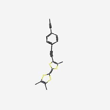 CC#Cc1ccc(C#CC2=C(C)SC(=C3SC(C)=C(C)S3)S2)cc1